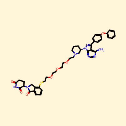 Nc1ncnc2c1c(-c1ccc(Oc3ccccc3)cc1)nn2[C@@H]1CCCN(CCOCCOCCOCCSc2cccc3c2CN(C2CCC(=O)NC2=O)C3=O)C1